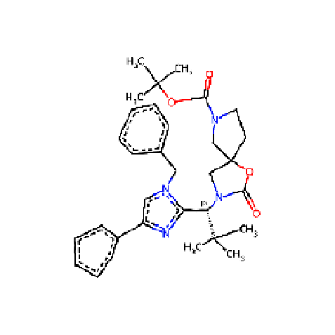 CC(C)(C)OC(=O)N1CCC2(C1)CN([C@@H](c1nc(-c3ccccc3)cn1Cc1ccccc1)C(C)(C)C)C(=O)O2